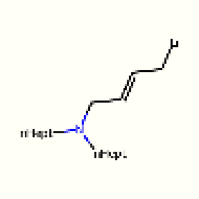 [Li][CH2]C=CCN(CCCCCCC)CCCCCCC